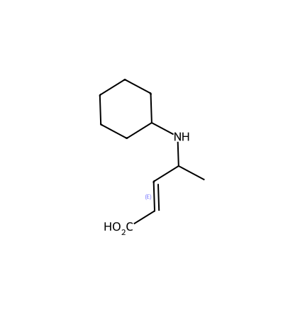 CC(/C=C/C(=O)O)NC1CCCCC1